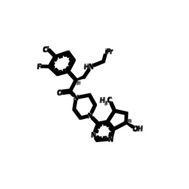 CC(C)CNC[C@@H](C(=O)N1CCN(c2ncnc3c2C(C)C[C@H]3O)CC1)c1ccc(Cl)c(F)c1